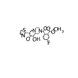 COC(=O)c1cc(F)ccc1C(=O)N1CCn2cc(-c3nccs3)c(=O)c(O)c2C1